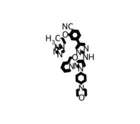 C[C@@H](Cn1cnnn1)Oc1cc(-c2cnc(Nc3cn([C@H]4CC[C@H](N5CCOCC5)CC4)nc3OCc3ccccn3)nc2)ccc1C#N